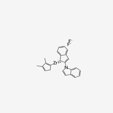 CC1=CC[C]([Zr+2][CH]2C(n3ccc4ccccc43)=Cc3ccccc32)=C1C.[F-].[F-]